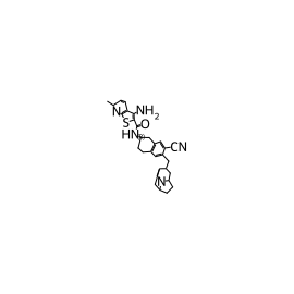 Cc1ccc2c(N)c(C(=O)N[C@@H]3CCc4cc(CC5CC6CCC7CC5CN67)c(C#N)cc4C3)sc2n1